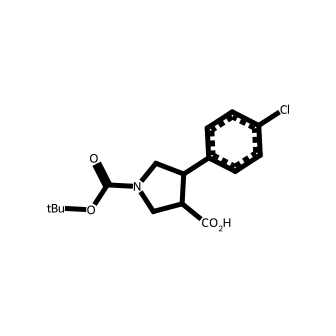 CC(C)(C)OC(=O)N1CC(C(=O)O)C(c2ccc(Cl)cc2)C1